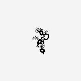 COC(=O)c1ccc(C2C(=O)NCCCCC(=O)N2Cc2c(OC)cc(C)c3c2ccn3S(=O)(=O)c2ccc(C)cc2)cc1